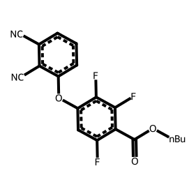 CCCCOC(=O)c1c(F)cc(Oc2cccc(C#N)c2C#N)c(F)c1F